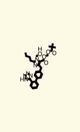 CCCCc1nc(Cc2ccc(-c3ccccc3-c3nnn[nH]3)cc2)c(C(=O)OCOC(=O)C(C)(C)C)n1CO